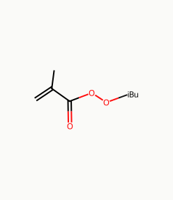 C=C(C)C(=O)OOC(C)CC